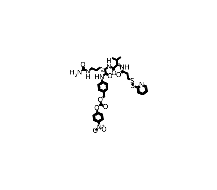 CC(C)[C@H](NC(=O)CCSSc1ccccn1)C(=O)N[C@@H](CCCNC(N)=O)C(=O)Nc1ccc(COC(=O)Oc2ccc([N+](=O)[O-])cc2)cc1